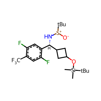 CC(C)(C)[S+]([O-])N[C@@H](c1cc(F)c(C(F)(F)F)cc1F)C1CC(O[Si](C)(C)C(C)(C)C)C1